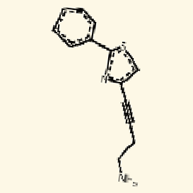 NCCC#Cc1csc(-c2ccccc2)n1